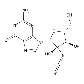 [N-]=[N+]=N[C@@]1(O)[C@H](O)[C@@H](CO)O[C@H]1n1cnc2c(=O)[nH]c(N)nc21